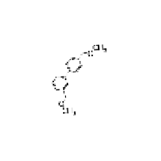 COCc1ccc(-c2cccc(COC)c2)cc1